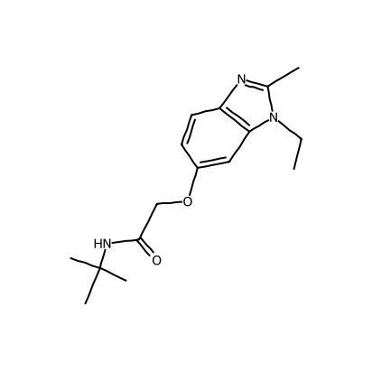 CCn1c(C)nc2ccc(OCC(=O)NC(C)(C)C)cc21